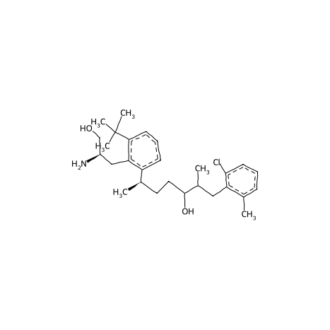 Cc1cccc(Cl)c1CC(C)C(O)CC[C@@H](C)c1cccc(C(C)(C)C)c1C[C@@H](N)CO